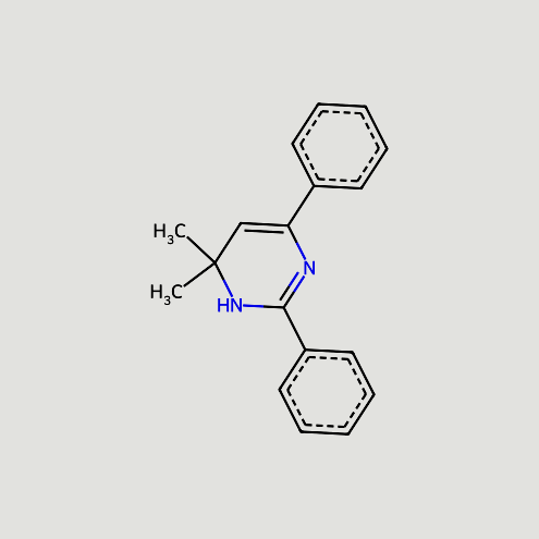 CC1(C)C=C(c2ccccc2)N=C(c2ccccc2)N1